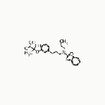 CCCN(CCCc1cccc(OC(C)(C)C(=O)O)c1)c1nc2ccccc2o1